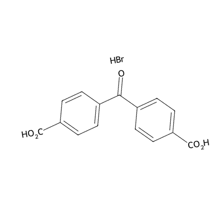 Br.O=C(O)c1ccc(C(=O)c2ccc(C(=O)O)cc2)cc1